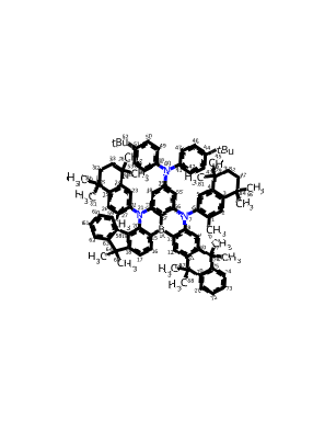 Cc1cc2c(cc1N1c3cc4c(cc3B3c5ccc6c(c5N(c5cc7c(cc5C)C(C)(C)CCC7(C)C)c5cc(N(c7ccc(C(C)(C)C)cc7)c7ccc(C(C)(C)C)cc7)cc1c53)-c1ccccc1C6(C)C)C(C)(C)c1ccccc1C4(C)C)C(C)(C)CCC2(C)C